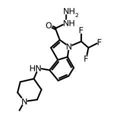 CN1CCC(Nc2cccc3c2cc(C(=O)NN)n3C(F)C(F)F)CC1